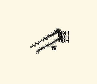 CCCCCCCCC=CCCCCCCCC[N+](C)(C)CC(=O)O.CCCCCCCCCCCCCCCCC(OO)C(=O)O.CN(C)C